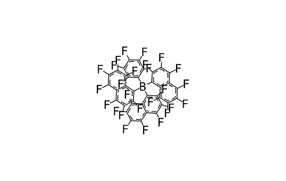 Fc1c(F)c(F)c([B-](c2c(F)c(F)c(F)c3c(F)c(F)c(F)c(F)c23)(c2c(F)c(F)c(F)c3c(F)c(F)c(F)c(F)c23)c2c(F)c(F)c(F)c3c(F)c(F)c(F)c(F)c23)c(F)c1F